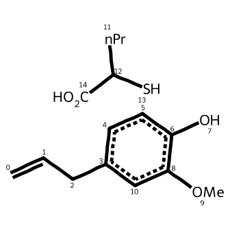 C=CCc1ccc(O)c(OC)c1.CCCC(S)C(=O)O